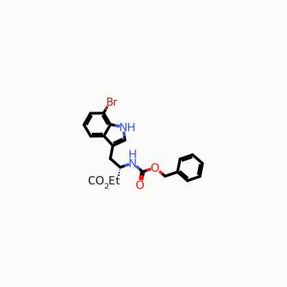 CCOC(=O)[C@H](Cc1c[nH]c2c(Br)cccc12)NC(=O)OCc1ccccc1